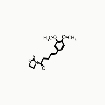 COc1ccc(C=CC=CC(=O)N2CCSC2=S)cc1OC